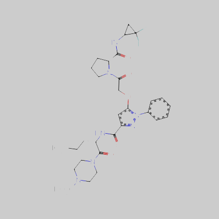 O=C(O)CC[C@H](NC(=O)c1cc(OCC(=O)N2CCC[C@H]2C(=O)NC2CC2(F)F)n(-c2ccccc2)n1)C(=O)N1CCN(C(=O)O)CC1